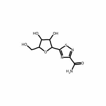 NC(=O)c1nsc(C2OC(CO)C(O)C2O)n1